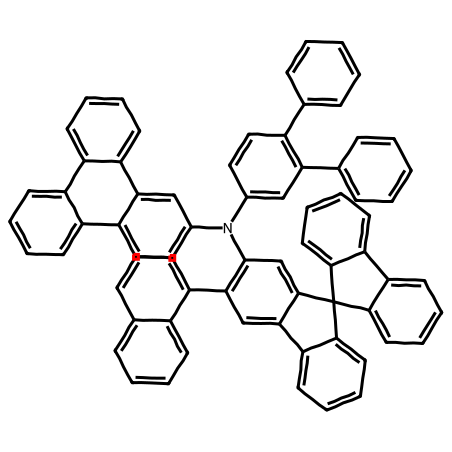 c1ccc(-c2ccc(N(c3ccc4c5ccccc5c5ccccc5c4c3)c3cc4c(cc3-c3cccc5ccccc35)-c3ccccc3C43c4ccccc4-c4ccccc43)cc2-c2ccccc2)cc1